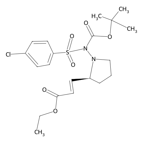 CCOC(=O)C=C[C@@H]1CCCN1N(C(=O)OC(C)(C)C)S(=O)(=O)c1ccc(Cl)cc1